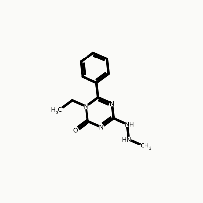 CCn1c(-c2ccccc2)nc(NNC)nc1=O